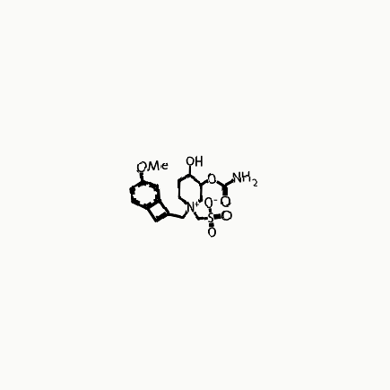 COc1ccc2c(c1)C(C[N+]1(CS(=O)(=O)[O-])CCC(O)C(OC(N)=O)C1)=C2